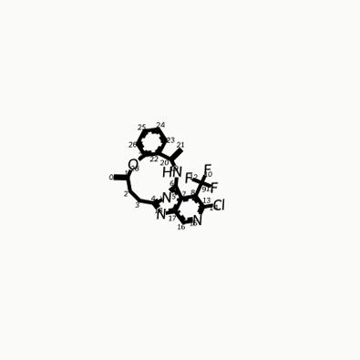 C=C1CCc2nc(c3c(C(F)(F)F)c(Cl)ncc3n2)NC(=C)c2ccccc2O1